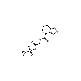 O=C(CNC(=O)C1CCCc2c[nH]nc21)NS(=O)(=O)C1CC1